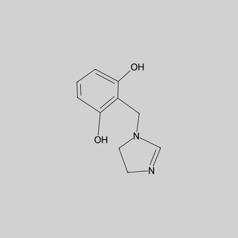 Oc1cccc(O)c1CN1C=NCC1